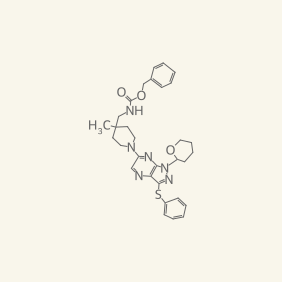 CC1(CNC(=O)OCc2ccccc2)CCN(c2cnc3c(Sc4ccccc4)nn(C4CCCCO4)c3n2)CC1